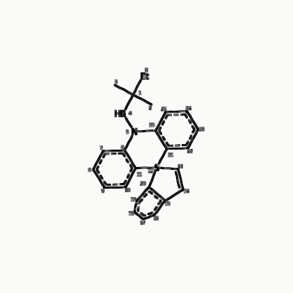 CCC(C)(C)BN1c2ccccc2S2(C=Cc3ccccc32)c2ccccc21